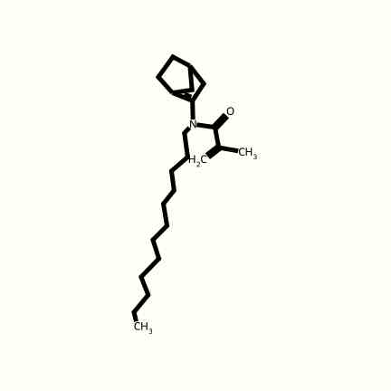 C=C(C)C(=O)N(CCCCCCCCCCCC)C1=C2CCC(C2)C1